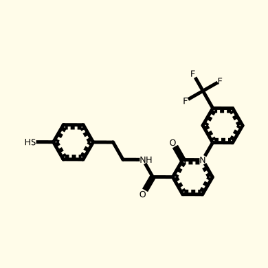 O=C(NCCc1ccc(S)cc1)c1cccn(-c2cccc(C(F)(F)F)c2)c1=O